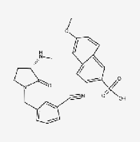 CN[C@H]1CCN(Cc2cccc(C#N)c2)C1=O.COc1ccc2cc(S(=O)(=O)O)ccc2c1